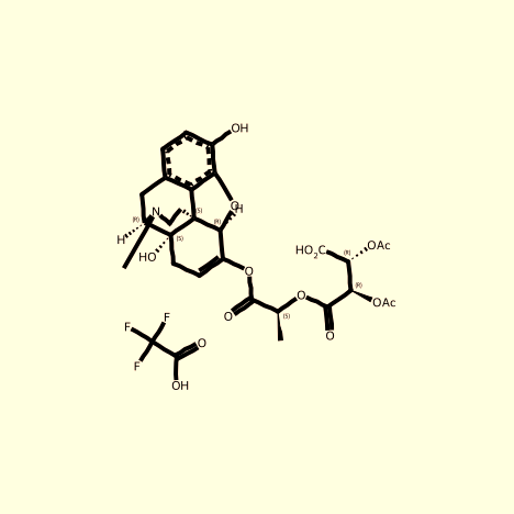 CC(=O)O[C@@H](C(=O)O)[C@@H](OC(C)=O)C(=O)O[C@@H](C)C(=O)OC1=CC[C@@]2(O)[C@H]3Cc4ccc(O)c5c4[C@@]2(CCN3C)[C@H]1O5.O=C(O)C(F)(F)F